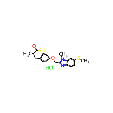 CSc1ccc2nc(COc3ccc(CC(C)C(=O)S)cc3)n(C)c2c1.Cl